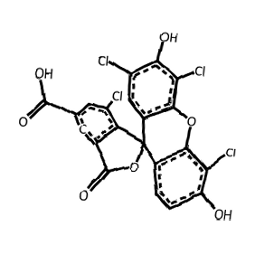 O=C(O)c1cc(Cl)c2c(c1)C(=O)OC21c2ccc(O)c(Cl)c2Oc2c1cc(Cl)c(O)c2Cl